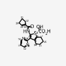 O=C(Nc1sc2c(c1-c1ncccn1)CCCC2)C1=CCCC1.O=C(O)O